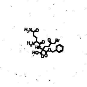 NC(=O)CCC(N)C(=O)NC(CCC(=O)CBr)(C(=O)O)C(=O)OCc1ccccc1